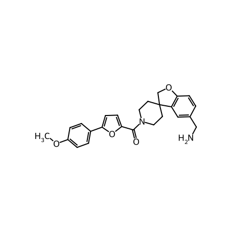 COc1ccc(-c2ccc(C(=O)N3CCC4(CC3)COc3ccc(CN)cc34)o2)cc1